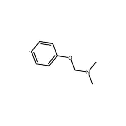 CN(C)COc1cc[c]cc1